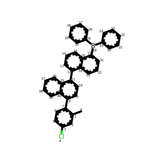 Cc1cc(Cl)ccc1-c1ccc(-c2cccc3c(B(c4ccccc4)c4ccccc4)cccc23)c2ccccc12